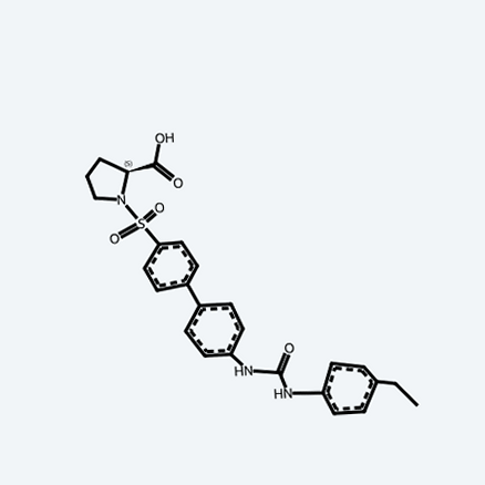 CCc1ccc(NC(=O)Nc2ccc(-c3ccc(S(=O)(=O)N4CCC[C@H]4C(=O)O)cc3)cc2)cc1